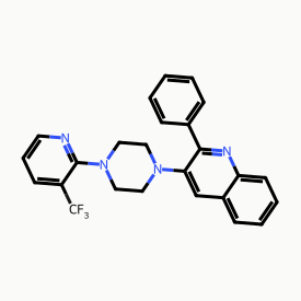 FC(F)(F)c1cccnc1N1CCN(c2cc3ccccc3nc2-c2ccccc2)CC1